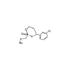 CC(C)(C)OCP1(=O)OCCC(c2cccc(Cl)c2)O1